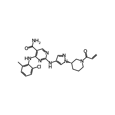 C=CC(=O)N1CCC[C@@H](n2cc(Nc3ncc(C(N)=O)c(Nc4c(C)cccc4Cl)n3)cn2)C1